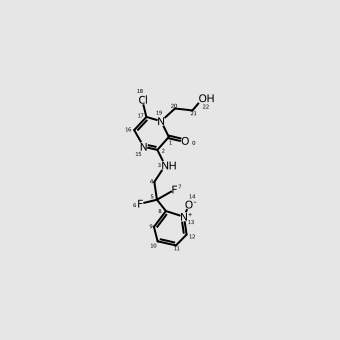 O=c1c(NCC(F)(F)c2cccc[n+]2[O-])ncc(Cl)n1CCO